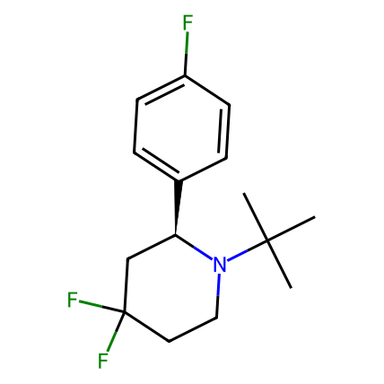 CC(C)(C)N1CCC(F)(F)C[C@H]1c1ccc(F)cc1